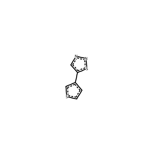 c1cc(-c2cnns2)cs1